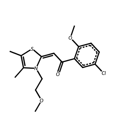 COCCN1C(=CC(=O)c2cc(Cl)ccc2OC)SC(C)=C1C